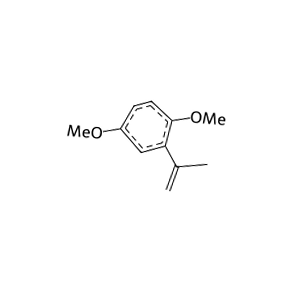 C=C(C)c1cc(OC)ccc1OC